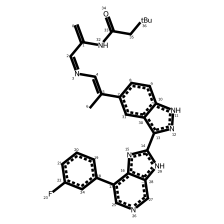 C=C(/C=N\C=C(/C)c1ccc2[nH]nc(-c3nc4c(-c5cccc(F)c5)cncc4[nH]3)c2c1)NC(=O)CC(C)(C)C